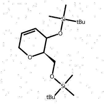 CC(C)(C)[Si](C)(C)OC[C@H]1OCC=CC1O[Si](C)(C)C(C)(C)C